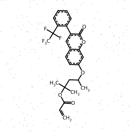 C=CC(=O)OC(C)(C)CC(C)Oc1ccc2cc(-c3ccccc3C(F)(F)C(F)(F)F)c(=O)oc2c1